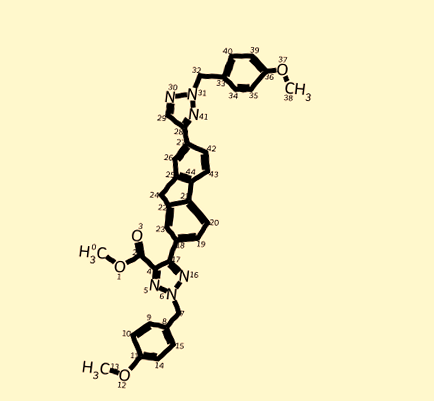 COC(=O)c1nn(Cc2ccc(OC)cc2)nc1-c1ccc2c(c1)Cc1cc(-c3cnn(Cc4ccc(OC)cc4)n3)ccc1-2